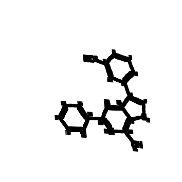 N#Cc1cccc(-c2csc3c(O)nc(-c4ccccn4)nc23)c1